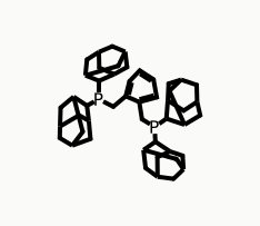 c1ccc(CP(C2C3CC4CC(C3)CC2C4)C2C3CC4CC(C3)CC2C4)c(CP(C2C3CC4CC(C3)CC2C4)C2C3CC4CC(C3)CC2C4)c1